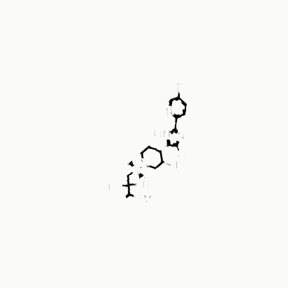 COC(=O)C(C)(C)CS(=O)(=O)N1CC[C@@H](c2[nH]c(-c3ccc(F)cn3)nc2Cl)[C@@H](C)C1